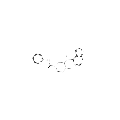 CC1CCN(C(=O)Nc2ccccn2)CC1N(C)c1ncnc2[nH]ccc12